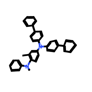 Cc1cc(N(c2ccc(-c3ccccc3)cc2)c2ccc(-c3ccccc3)cc2)ccc1N(C)c1ccccc1